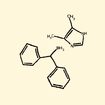 BC(c1ccccc1)c1ccccc1.Cc1nc[nH]c1C